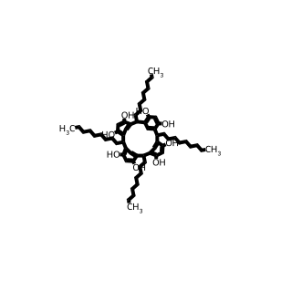 CCCCCCCCCC1c2cc(c(O)cc2O)C(CCCCCCCCC)c2cc(c(O)cc2O)C(CCCCCCCCC)c2cc(c(O)cc2O)C(CCCCCCCCC)c2cc1c(O)cc2O